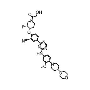 COc1cc(Nc2ncnc(-c3ccc(O[C@H]4CCN(C(=O)CO)C[C@@H]4F)c(C#N)c3)n2)ccc1N1CCC(N2CCOCC2)CC1